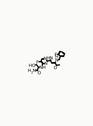 CC(=O)/C(=C/C(=N)c1ncc(F)c(NC(CO)C(N)=O)n1)NCc1ccccc1F